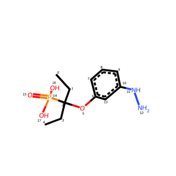 CCC(CC)(Oc1cccc(NN)c1)P(=O)(O)O